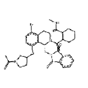 CNC(=O)C1CCCCC1C(=O)N1CCc2c(Br)ccc(OC3CCN(C(C)=O)C3)c2[C@H]1CN1C(=O)c2ccccc2C1=O